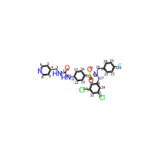 O=C(NCc1ccncc1)Nc1ccc(S(=O)(=O)N(Cc2ccc(F)cc2)Cc2cc(Cl)cc(Cl)c2)cc1